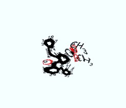 COC(C)OC.O=C(c1ccccc1Cc1ccccc1)c1ccccc1Cc1ccccc1